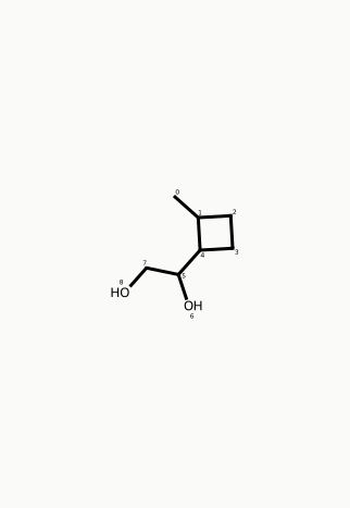 CC1CCC1C(O)CO